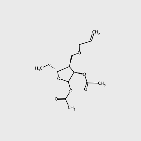 C=CCOC[C@@H]1[C@@H](CC)OC(OC(C)=O)[C@@H]1OC(C)=O